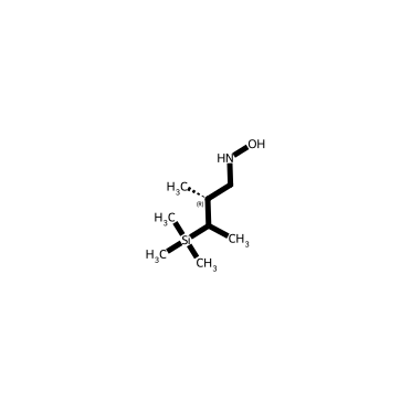 CC([C@H](C)CNO)[Si](C)(C)C